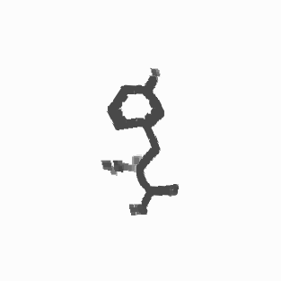 N[C@H](Cc1cccc(F)c1)C(=O)O